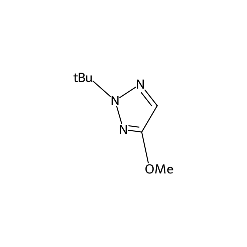 COc1cnn(C(C)(C)C)n1